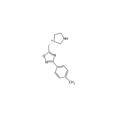 Cc1ccc(-c2noc(C[C@@H]3CCNC3)n2)cc1